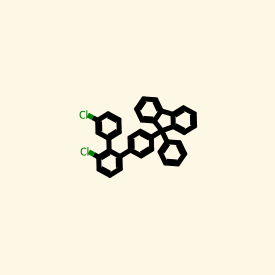 Clc1cccc(-c2c(Cl)cccc2-c2ccc(C3(c4ccccc4)c4ccccc4-c4ccccc43)cc2)c1